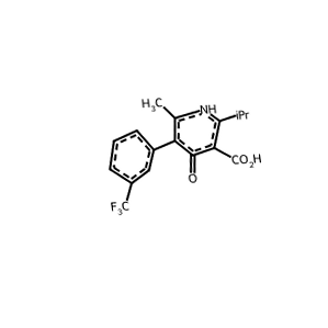 Cc1[nH]c(C(C)C)c(C(=O)O)c(=O)c1-c1cccc(C(F)(F)F)c1